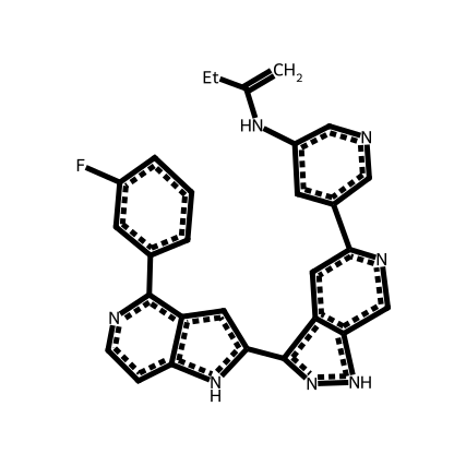 C=C(CC)Nc1cncc(-c2cc3c(-c4cc5c(-c6cccc(F)c6)nccc5[nH]4)n[nH]c3cn2)c1